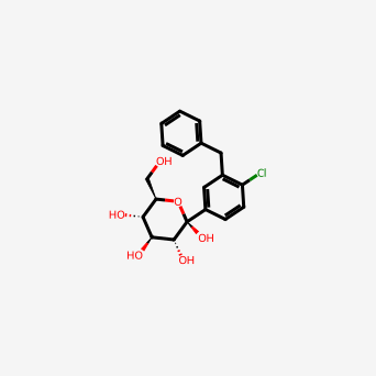 OC[C@H]1O[C@](O)(c2ccc(Cl)c(Cc3ccccc3)c2)[C@H](O)[C@@H](O)[C@@H]1O